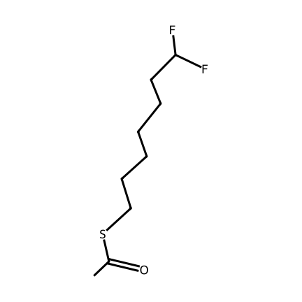 CC(=O)SCCCCCCC(F)F